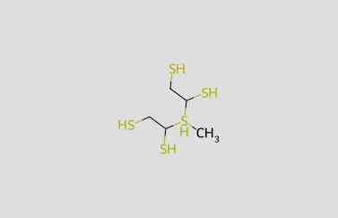 C[SH](C(S)CS)C(S)CS